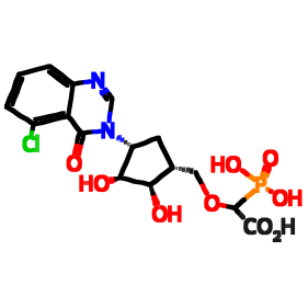 O=C(O)C(OC[C@H]1C[C@@H](n2cnc3cccc(Cl)c3c2=O)[C@H](O)[C@@H]1O)P(=O)(O)O